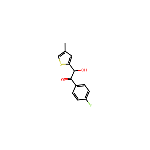 Cc1csc(C(O)C(=O)c2ccc(F)cc2)c1